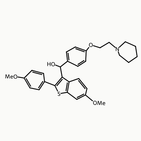 COc1ccc(-c2sc3cc(OC)ccc3c2C(O)c2ccc(OCCN3CCCCC3)cc2)cc1